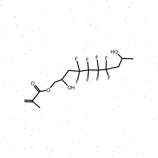 C=C(C)C(=O)OCC(O)CC(F)(F)C(F)(F)C(F)(F)C(F)(F)CC(C)O